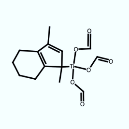 CC1=C[C](C)([Ti]([O]C=O)([O]C=O)[O]C=O)C2=C1CCCC2